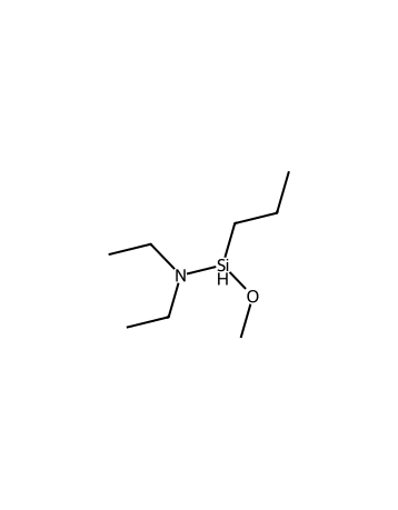 CCC[SiH](OC)N(CC)CC